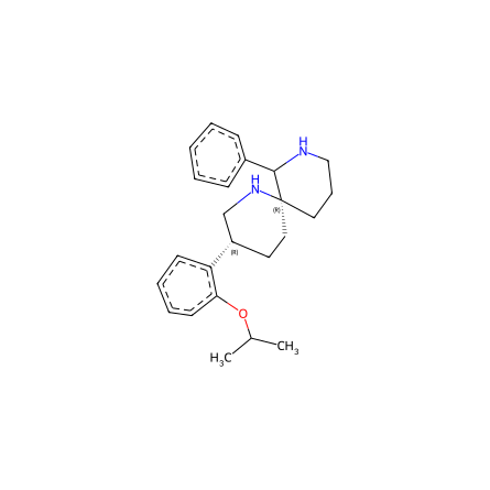 CC(C)Oc1ccccc1[C@H]1CC[C@]2(CCCNC2c2ccccc2)NC1